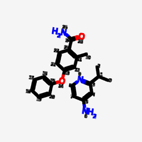 CC(C)c1cc(N)ccn1.Cc1cc(Oc2ccccc2)ccc1C(N)=O